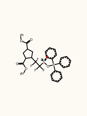 CC(C)OC(=O)C1CC(C(=O)OC(C)C)C(C(F)(F)C(F)(F)S(=O)(=O)OS(c2ccccc2)(c2ccccc2)c2ccccc2)C1